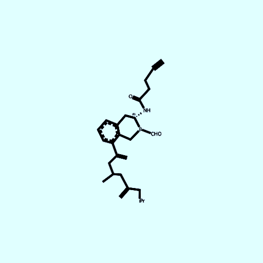 C#CCCC(=O)N[C@H]1Cc2cccc(C(=C)CC(C)CC(=C)CC(C)C)c2CB1C=O